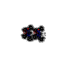 CCc1cc2c3c(c1)N(c1ccc4c(c1)C(C)(C)CCC4(C)C)c1c(oc4c1C(C)(C)CCC4(C)CCC1(C)CCC(C)(C)c4ccc(N5c6cc(C)cc7c6B(c6cc8c(cc6N7c6ccc7c(c6)C(C)(C)CCC7(C)C)C(C)(C)CCC8(C)C)c6oc7c(c65)C(C)(C)CCC7(C)C)cc41)B3c1cc3c(cc1N2c1ccc2c(c1)C(C)(C)CCC2(C)C)C(C)(C)CCC3(C)C